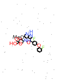 COc1cnc2[nH]cc(C(=O)c3ccc(Oc4ccccc4F)cc3F)c2c1N[C@@H]1CCC(CO)(CO)OC1